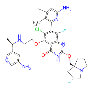 Cc1cc(N)nc(-c2c(Cl)c(OCCN[C@H](C)c3cncc(N)c3)c3c(=O)[nH]c(OC[C@@]45CCCN4C[C@H](F)C5)nc3c2F)c1C(F)(F)F